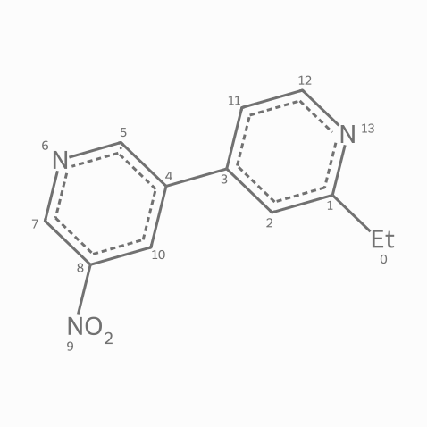 CCc1cc(-c2[c]ncc([N+](=O)[O-])c2)ccn1